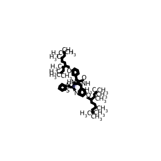 CC(CCC(COc1cccc(C2=c3c(c(-c4cccc(OCC(CCC(C)CC(C)(C)C)C(C)CC(C)(C)C)c4)[nH]/c3=C(/C#N)c3nc4ccccc4s3)C(=O)N2)c1)C(C)CC(C)(C)C)CC(C)(C)C